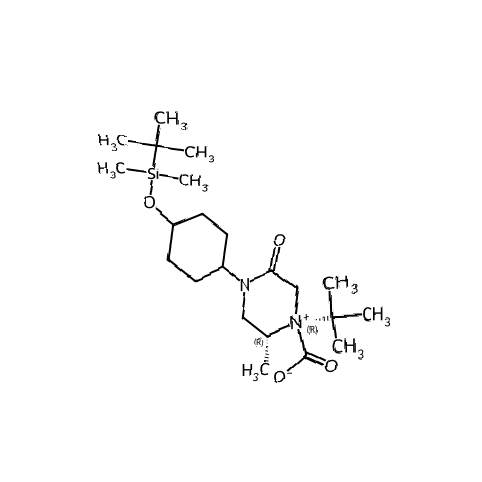 C[C@@H]1CN(C2CCC(O[Si](C)(C)C(C)(C)C)CC2)C(=O)C[N@+]1(C(=O)[O-])C(C)(C)C